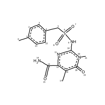 Cc1ccc(CS(=O)(=O)Nc2nc(C(N)=O)c(C)c(=O)n2C)cc1